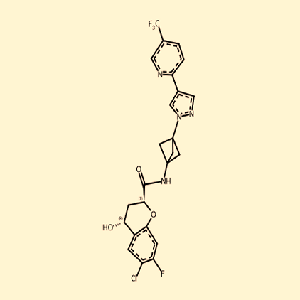 O=C(NC12CC(n3cc(-c4ccc(C(F)(F)F)cn4)cn3)(C1)C2)[C@@H]1C[C@@H](O)c2cc(Cl)c(F)cc2O1